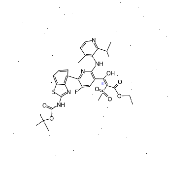 CCOC(=O)/C(=C(\O)c1cc(F)c(-c2cccc3sc(NC(=O)OC(C)(C)C)nc23)nc1Nc1c(C)ccnc1C(C)C)S(C)(=O)=O